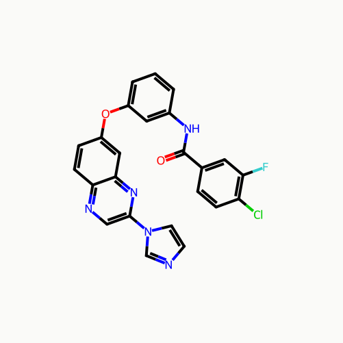 O=C(Nc1cccc(Oc2ccc3ncc(-n4ccnc4)nc3c2)c1)c1ccc(Cl)c(F)c1